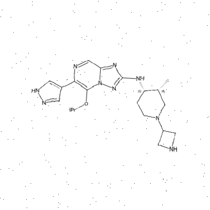 CC(C)Oc1c(-c2cn[nH]c2)ncc2nc(N[C@H]3CCN(C4CNC4)C[C@H]3C)nn12